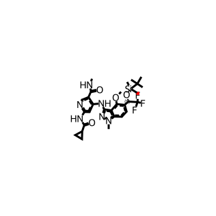 CNC(=O)c1cnc(NC(=O)C2CC2)cc1Nc1nn(C)c2ccc([C@H](O[Si](C)(C)C(C)(C)C)C(F)(F)F)c(OC)c12